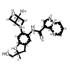 C[C@]1(CO)Cc2cc(NC(=O)c3cnn4cccnc34)c(N3C[C@H]4OCC43)cc2O1